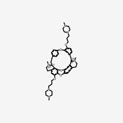 CN1CCN(CCCOc2ccc3cc2Oc2ccc(cc2)C[C@H]2c4c(cc(OCCCN5CCN(C)CC5)c5c4Oc4cc6c(cc4O5)CCN(C)[C@H]6C3)CCN2C)CC1